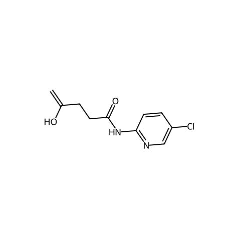 C=C(O)CCC(=O)Nc1ccc(Cl)cn1